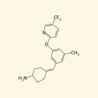 Cc1cc(C=C2CCC(N)CC2)cc(Oc2ccc(C(F)(F)F)cn2)c1